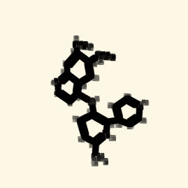 COc1cc2nccc(Oc3ccc(C)nc3-c3ccncc3)c2cc1OC